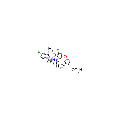 CCc1cc(Oc2cc(F)cc([C@@H](C)NC(=O)c3c(C)c4cc(F)ccc4n3C)c2)ccc1CCC(=O)O